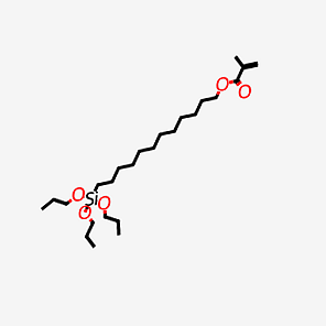 C=C(C)C(=O)OCCCCCCCCCCCC[Si](OCCC)(OCCC)OCCC